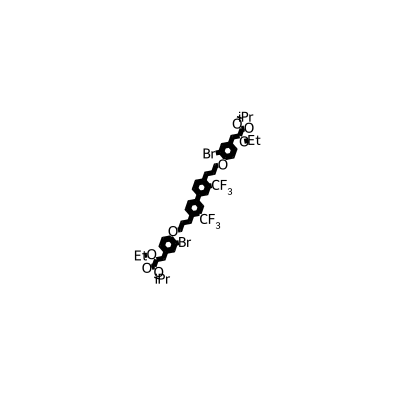 CCOC(Cc1ccc(OCCCc2ccc(-c3ccc(CCCOc4ccc(CC(OCC)C(=O)OC(C)C)cc4Br)c(C(F)(F)F)c3)cc2C(F)(F)F)c(Br)c1)C(=O)OC(C)C